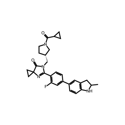 CC1Cc2cc(-c3ccc(C4=NC5(CC5)C(=O)N4C[C@@H]4CCN(C(=O)C5CC5)C4)c(F)c3)ccc2N1